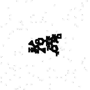 Cn1c(Cl)nc2nc(C3CCO[C@@H](c4c(C5CC5)n[nH]c4C4CC4)C3)nc(-c3ccc(F)cc3F)c21